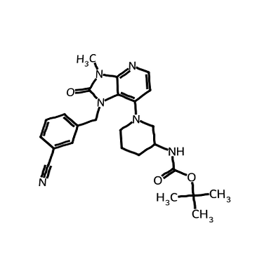 Cn1c(=O)n(Cc2cccc(C#N)c2)c2c(N3CCCC(NC(=O)OC(C)(C)C)C3)ccnc21